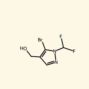 OCc1cnn(C(F)F)c1Br